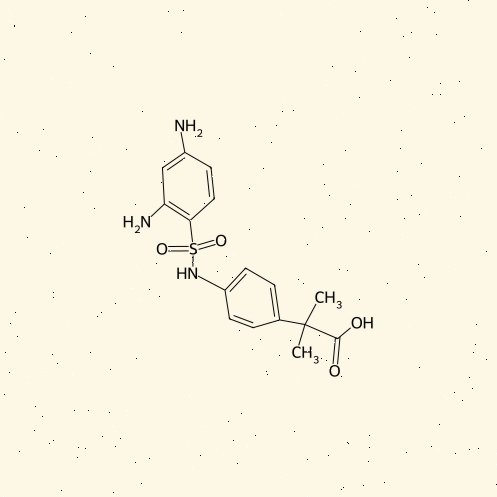 CC(C)(C(=O)O)c1ccc(NS(=O)(=O)c2ccc(N)cc2N)cc1